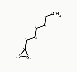 CCCCCCC1SS1